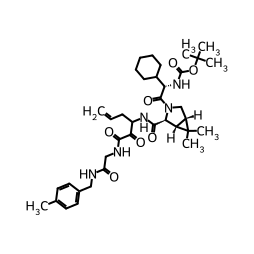 C=CCC(NC(=O)[C@@H]1[C@@H]2[C@H](CN1C(=O)[C@@H](NC(=O)OC(C)(C)C)C1CCCCC1)C2(C)C)C(=O)C(=O)NCC(=O)NCc1ccc(C)cc1